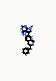 Cn1cc(-c2ccc3cc(Cc4ccccc4)ncc3c2)c2c(N)ncnc21